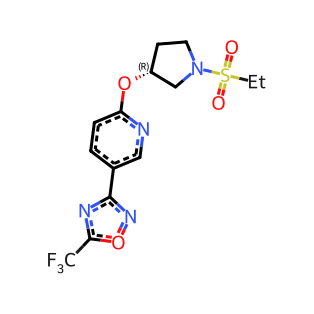 CCS(=O)(=O)N1CC[C@@H](Oc2ccc(-c3noc(C(F)(F)F)n3)cn2)C1